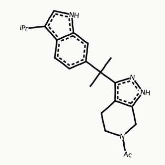 CC(=O)N1CCc2c(C(C)(C)c3ccc4c(C(C)C)c[nH]c4c3)n[nH]c2C1